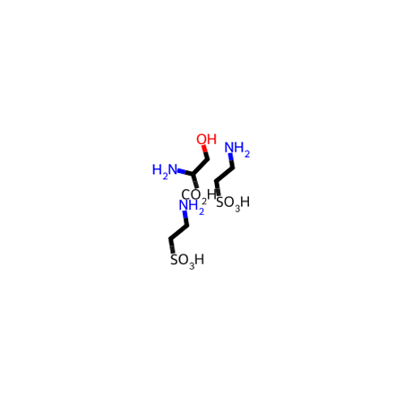 NC(CO)C(=O)O.NCCS(=O)(=O)O.NCCS(=O)(=O)O